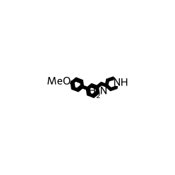 COc1ccc(-c2cccc(CC3(N)CCNCC3)c2)cc1